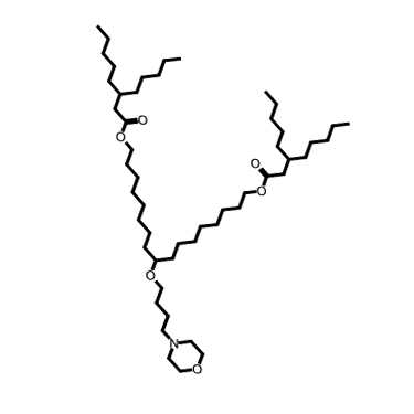 CCCCCC(CCCCC)CC(=O)OCCCCCCCCC(CCCCCCCCOC(=O)CC(CCCCC)CCCCC)OCCCCN1CCOCC1